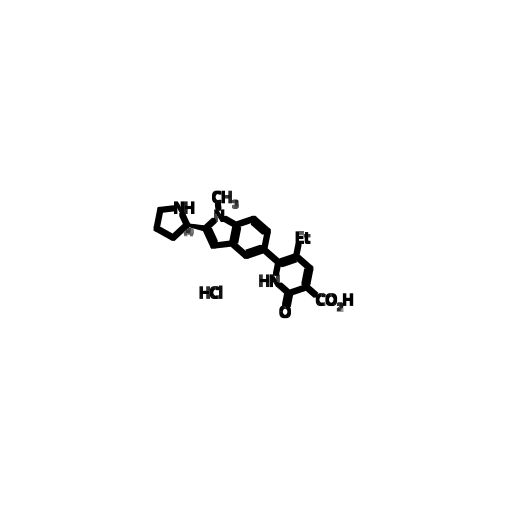 CCc1cc(C(=O)O)c(=O)[nH]c1-c1ccc2c(c1)cc([C@H]1CCCN1)n2C.Cl